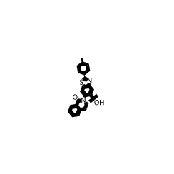 CC(C)(O)c1cc2nc([C@H]3CC[C@H](C)CC3)sc2cc1N1CCc2ccccc2C1=O